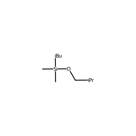 CCC(C)[Si](C)(C)OCC(C)C